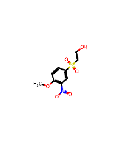 COc1ccc(S(=O)(=O)CCO)cc1[N+](=O)[O-]